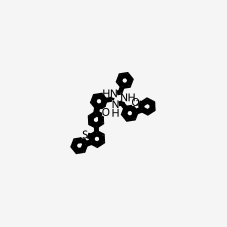 NC(NC(NCc1ccccc1)c1cccc2c1oc1cc(-c3cccc4c3sc3ccccc34)ccc12)c1cccc2c1oc1ccccc12